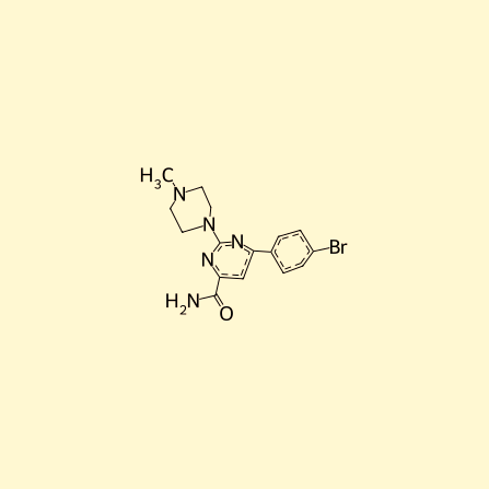 CN1CCN(c2nc(C(N)=O)cc(-c3ccc(Br)cc3)n2)CC1